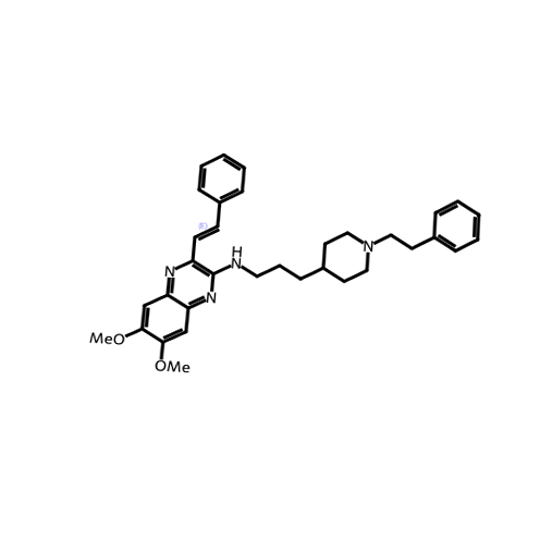 COc1cc2nc(/C=C/c3ccccc3)c(NCCCC3CCN(CCc4ccccc4)CC3)nc2cc1OC